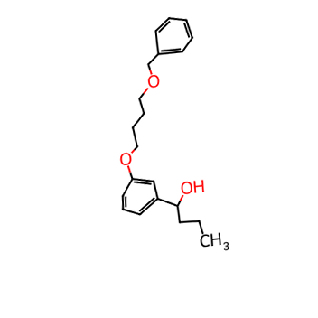 CCCC(O)c1cccc(OCCCCOCc2ccccc2)c1